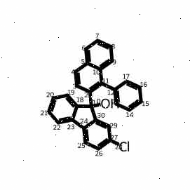 OC1(c2ccc3ccccc3c2-c2ccccc2)c2ccccc2-c2ccc(Cl)cc21